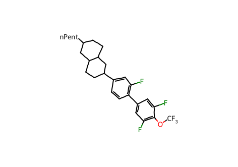 CCCCCC1CCC2CC(c3ccc(-c4cc(F)c(OC(F)(F)F)c(F)c4)c(F)c3)CCC2C1